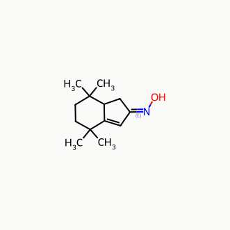 CC1(C)CCC(C)(C)C2C/C(=N\O)C=C21